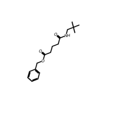 CC(C)(C)CNC(=O)CCCC(=O)OCc1ccccc1